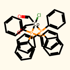 O=[CH][Co]([Cl])([CH]=O)([PH](c1ccccc1)(c1ccccc1)c1ccccc1)[PH](c1ccccc1)(c1ccccc1)c1ccccc1